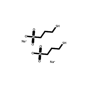 O=S(=O)([O-])CCCS.O=S(=O)([O-])CCCS.[Na+].[Na+]